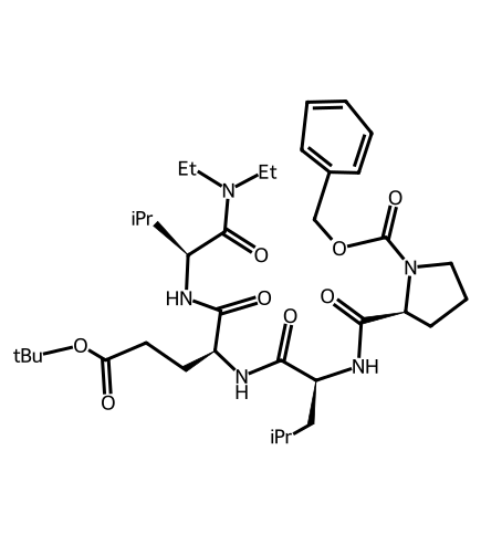 CCN(CC)C(=O)[C@@H](NC(=O)[C@H](CCC(=O)OC(C)(C)C)NC(=O)[C@H](CC(C)C)NC(=O)[C@@H]1CCCN1C(=O)OCc1ccccc1)C(C)C